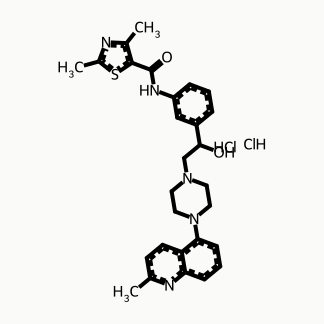 Cc1ccc2c(N3CCN(CC(O)c4cccc(NC(=O)c5sc(C)nc5C)c4)CC3)cccc2n1.Cl.Cl